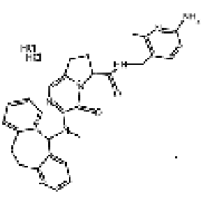 Cc1nc(N)ccc1CNC(=O)[C@@H]1CCc2cnc(N(C)C3c4ccccc4CCc4ccccc43)c(=O)n21.Cl.Cl